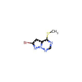 CSc1ncnn2nc(Br)cc12